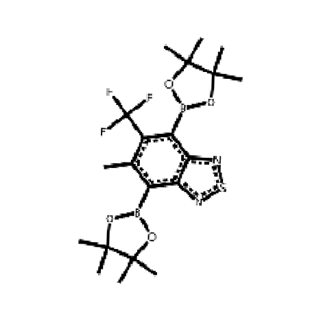 Cc1c(C(F)(F)F)c(B2OC(C)(C)C(C)(C)O2)c2nsnc2c1B1OC(C)(C)C(C)(C)O1